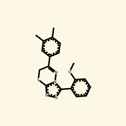 COc1ccccc1-c1nnc2n1N=C(c1ccc(C)c(C)c1)CS2